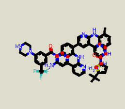 Cc1ccc(NC(=O)c2ccc(C(C)(C)C)s2)cc1Nc1ncc(-c2ccc(NC(=O)c3cc(N4CCNCC4)cc(C(F)(F)F)c3)cc2Nc2ncccc2-c2cc(N)ncn2)cc1-c1cc(NN)ncn1